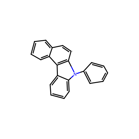 [c]1cc2ccccc2c2c3ccccc3n(-c3ccccc3)c12